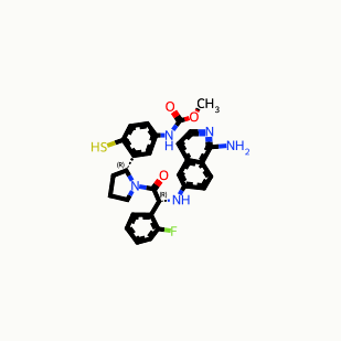 COC(=O)Nc1ccc(S)c([C@H]2CCCN2C(=O)[C@H](Nc2ccc3c(N)nccc3c2)c2ccccc2F)c1